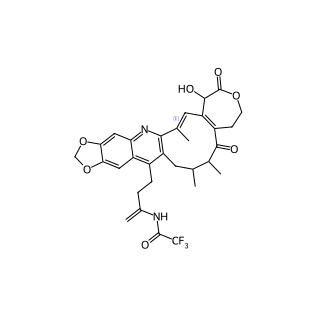 C=C(CCc1c2c(nc3cc4c(cc13)OCO4)/C(C)=C/C1=C(CCOC(=O)C1O)C(=O)C(C)C(C)C2)NC(=O)C(F)(F)F